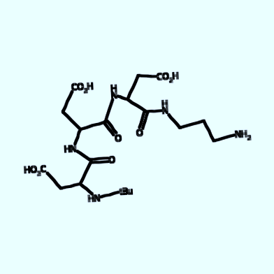 CC(C)(C)NC(CC(=O)O)C(=O)NC(CC(=O)O)C(=O)NC(CC(=O)O)C(=O)NCCCN